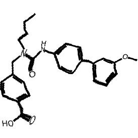 CCCCN(Cc1ccc(C(=O)O)cc1)C(=O)Nc1ccc(-c2cccc(OC)c2)cc1